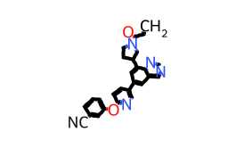 C=CC(=O)N1CCC(c2cc(-c3ccc(Oc4cccc(C#N)c4)nc3)cc3cncnc23)C1